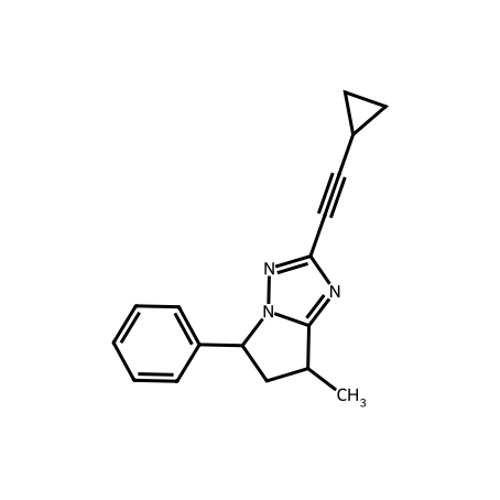 CC1CC(c2ccccc2)n2nc(C#CC3CC3)nc21